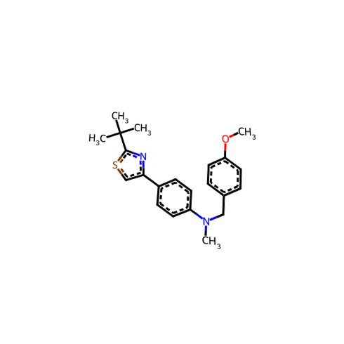 COc1ccc(CN(C)c2ccc(-c3csc(C(C)(C)C)n3)cc2)cc1